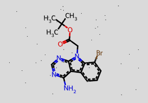 CC(C)(C)OC(=O)Cn1c2ncnc(N)c2c2cccc(Br)c21